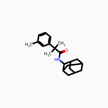 Cc1cccc(C(C)(C)C(=O)NC2C3CC4CC(C3)CC2C4)c1